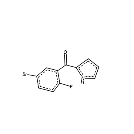 O=C(c1ccc[nH]1)c1cc(Br)ccc1F